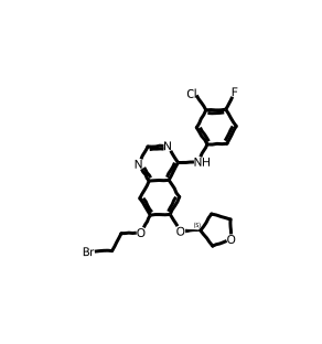 Fc1ccc(Nc2ncnc3cc(OCCBr)c(O[C@H]4CCOC4)cc23)cc1Cl